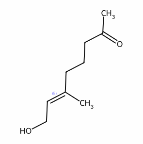 CC(=O)CCC/C(C)=C/CO